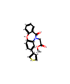 CC(C)(C)OC(=O)CN1C(=O)c2ccccc2Oc2ccc(-c3ccsc3)cc21